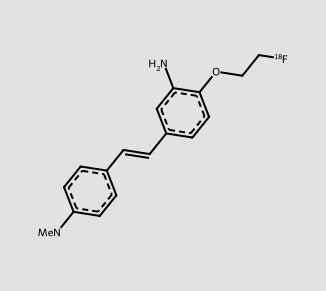 CNc1ccc(/C=C/c2ccc(OCC[18F])c(N)c2)cc1